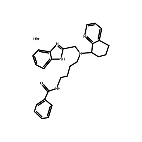 Br.O=C(NCCCCN(Cc1nc2ccccc2[nH]1)C1CCCc2cccnc21)c1ccccc1